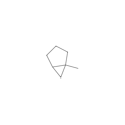 CC12[CH]C1CCC2